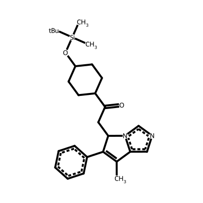 CC1=C(c2ccccc2)C(CC(=O)C2CCC(O[Si](C)(C)C(C)(C)C)CC2)n2cncc21